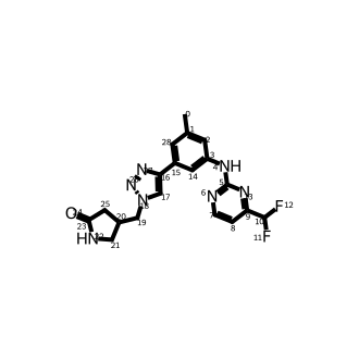 Cc1cc(Nc2nccc(C(F)F)n2)cc(-c2cn(CC3CNC(=O)C3)nn2)c1